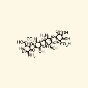 CCC(N)[C@@H](O[C@@H]1OC(C(=O)O)[C@@H](O[C@@H]2OC(CO)[C@@H](O)[C@H](O[C@@H]3OC(C(=O)O)[C@@H](O)[C@H](O)C3O)C2N)[C@H](O)C1O)[C@H](O)C(O)CO